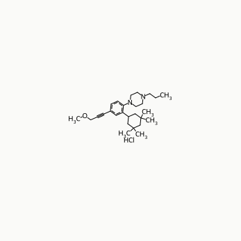 CCCN1CCN(c2ccc(C#CCOC)cc2C2CC(C)(C)CC(C)(C)C2)CC1.Cl